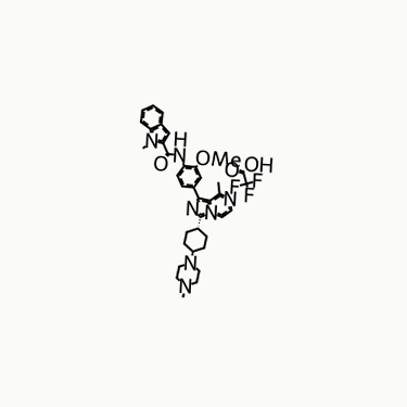 COc1cc(-c2nc([C@H]3CC[C@H](N4CCN(C)CC4)CC3)n3ccnc(C)c23)ccc1NC(=O)c1cc2ccccc2n1C.O=C(O)C(F)(F)F